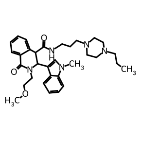 CCCN1CCN(CCCNC(=O)C2c3ccccc3C(=O)N(CCOC)C2c2cn(C)c3ccccc23)CC1